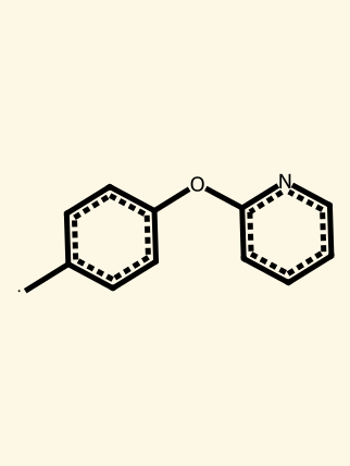 [CH2]c1ccc(Oc2ccccn2)cc1